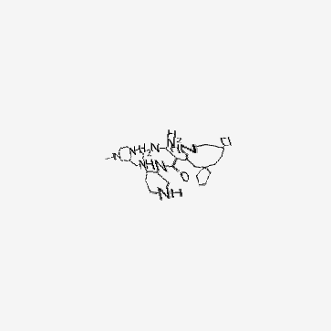 CN1CCN2CCN(C3CCNCC3NC(=O)C(C(N)N)C3CC4(CCCC4)CCC(Cl)CN3)CC2C1